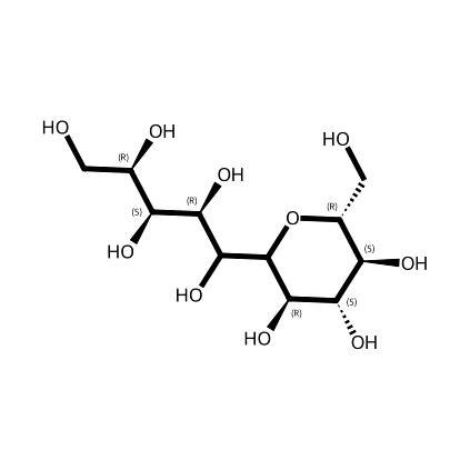 OC[C@@H](O)[C@H](O)[C@@H](O)C(O)C1O[C@H](CO)[C@@H](O)[C@H](O)[C@H]1O